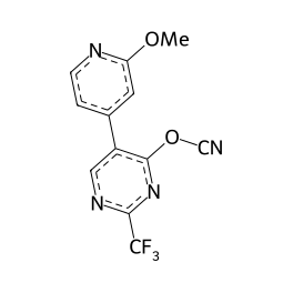 COc1cc(-c2cnc(C(F)(F)F)nc2OC#N)ccn1